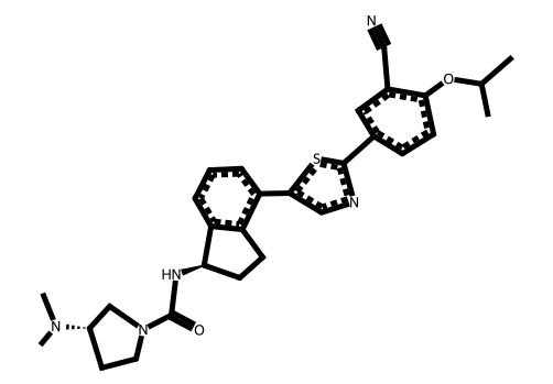 CC(C)Oc1ccc(-c2ncc(-c3cccc4c3CC[C@H]4NC(=O)N3CC[C@H](N(C)C)C3)s2)cc1C#N